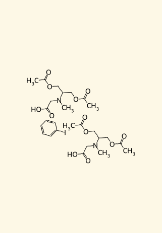 CC(=O)OCC(COC(C)=O)N(C)CC(=O)O.CC(=O)OCC(COC(C)=O)N(C)CC(=O)O.Ic1ccccc1